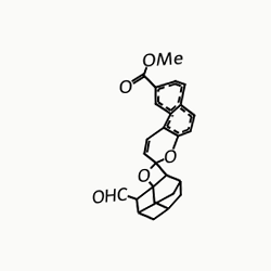 COC(=O)c1ccc2ccc3c(c2c1)C=CC1(O3)OC23CC4CC(CC(C4)C12)C3C=O